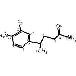 CC(CCC(N)=O)c1ccc(N)c(F)c1